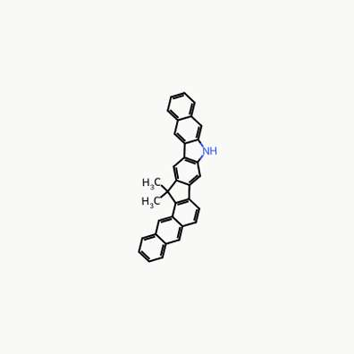 CC1(C)c2cc3c(cc2-c2ccc4cc5ccccc5cc4c21)[nH]c1cc2ccccc2cc13